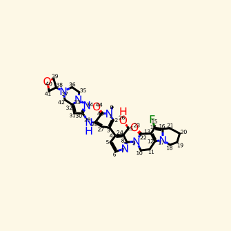 Cn1cc(-c2ccnc(N3CCc4c(c(F)c5n4CCCC5)C3=O)c2CO)cc(Nc2cc3n(n2)CCN(C2COC2)C3)c1=O